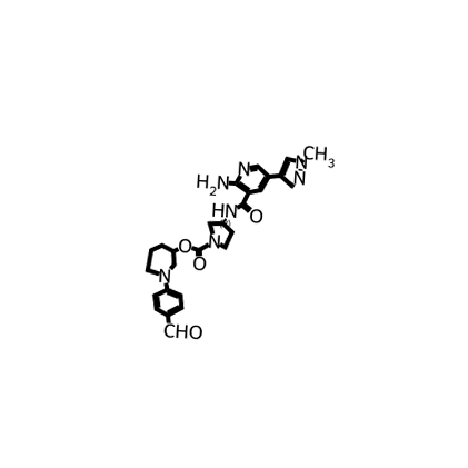 Cn1cc(-c2cnc(N)c(C(=O)N[C@@H]3CCN(C(=O)OC4CCCN(c5ccc(C=O)cc5)C4)C3)c2)cn1